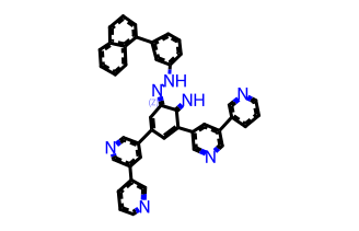 N=C1C(c2cncc(-c3cccnc3)c2)=CC(c2cncc(-c3cccnc3)c2)=C/C1=N/Nc1cccc(-c2cccc3ccccc23)c1